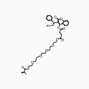 C=C(C)C(=O)OCCOCCOCCOCCOCCOC(=O)CCC(=O)Oc1c(C(CC(C)=O)c2ccccc2)c(=O)oc2ccccc12